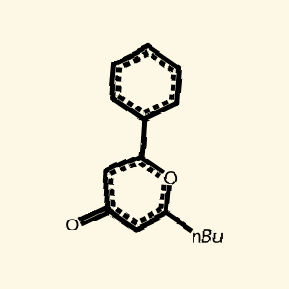 CCCCc1cc(=O)cc(-c2ccccc2)o1